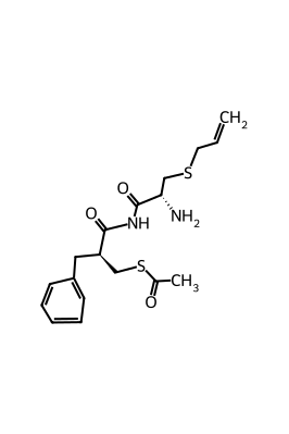 C=CCSC[C@H](N)C(=O)NC(=O)[C@@H](CSC(C)=O)Cc1ccccc1